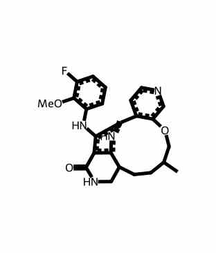 COc1c(F)cccc1Nc1c2[nH]c3c1C(=O)NCC3CCC(C)COc1cnccc1-2